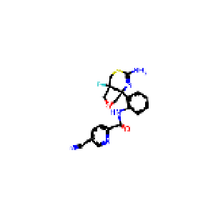 N#Cc1ccc(C(=O)Nc2ccccc2C23COCC2(F)CSC(N)=N3)nc1